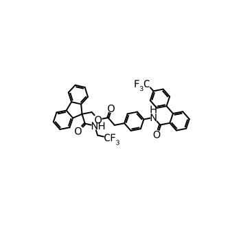 O=C(Cc1ccc(NC(=O)c2ccccc2-c2ccc(C(F)(F)F)cc2)cc1)OCC1(C(=O)NCC(F)(F)F)c2ccccc2-c2ccccc21